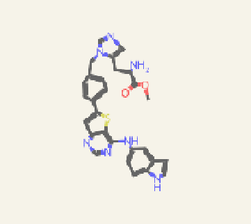 COC(=O)C(N)Cc1cncn1Cc1ccc(-c2cc3ncnc(Nc4ccc5[nH]ccc5c4)c3s2)cc1